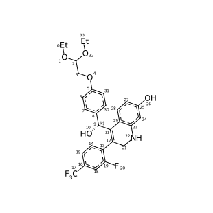 CCOC(COc1ccc([C@@H](O)C2=C(c3ccc(C(F)(F)F)cc3F)CNc3cc(O)ccc32)cc1)OCC